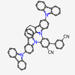 N#Cc1cccc(-c2cc(-n3c4c(c5cc(-n6c7ccccc7c7ccccc76)ccc53)CCC=C4)c(-n3c4ccccc4c4cc(-n5c6ccccc6c6ccccc65)ccc43)cc2C#N)c1